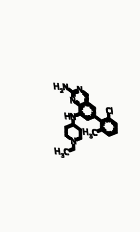 CCN1CCC(Nc2cc(-c3c(C)cccc3Cl)cc3cnc(N)nc23)CC1